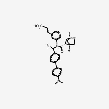 [2H]C(c1ccc(-c2ccc(N(C)C)cc2)cc1)N(C(=O)[C@@H]1C[C@@H]2CC[C@H]1C2)c1cncc(/C=C/C(=O)O)c1